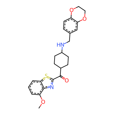 COc1cccc2sc(C(=O)C3CCC(NCc4ccc5c(c4)OCCO5)CC3)nc12